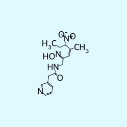 CCC(C(C)=CC(CNC(=O)Cc1cccnc1)=NO)[N+](=O)[O-]